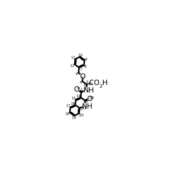 O=C(N[C@@H](COCc1ccccc1)C(=O)O)c1cc2ccccc2[nH]c1=O